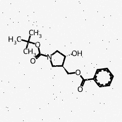 CC(C)(C)OC(=O)N1C[C@H](COC(=O)c2ccccc2)[C@@H](O)C1